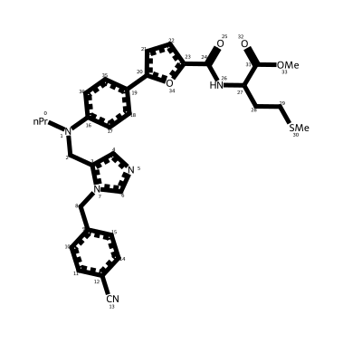 CCCN(Cc1cncn1Cc1ccc(C#N)cc1)c1ccc(-c2ccc(C(=O)NC(CCSC)C(=O)OC)o2)cc1